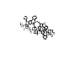 C=C1CC2C(CCc3cc4sc5ccc([Si](C)(C)C)cc5c4cc3-c3n(CC4(C)C=C(c5ccccc5)C=C4C)c4ccccc4[n+]31)c1ccccc1-c1cc(CC3CCCC3)c([Si](C)(C)C)c[n+]12